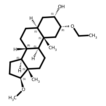 CCO[C@@H]1C[C@@]2(C)[C@@H](CC[C@@H]3[C@@H]2CC[C@]2(C)[C@@H](OC)CC[C@@H]32)C[C@@H]1O